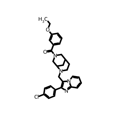 CCOc1cccc(C(=O)N2CC3CCN(Cc4c(-c5ccc(Cl)cc5)nc5ccccn45)C(C3)C2)c1